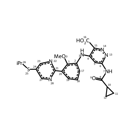 COc1c(Nc2cc(NC(=O)C3CC3)nnc2C(=O)O)cccc1-c1ncc(SC(C)C)cn1